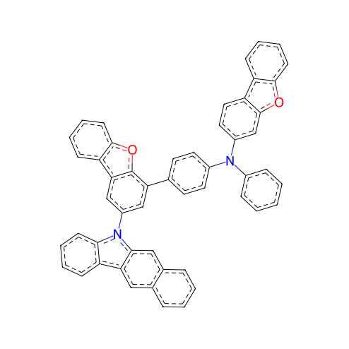 c1ccc(N(c2ccc(-c3cc(-n4c5ccccc5c5cc6ccccc6cc54)cc4c3oc3ccccc34)cc2)c2ccc3c(c2)oc2ccccc23)cc1